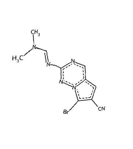 CN(C)/C=N/c1ncc2cc(C#N)c(Br)n2n1